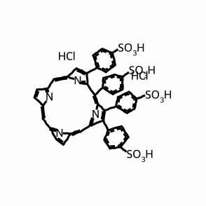 Cl.Cl.O=S(=O)(O)c1ccc(C2=CC3=CC4=NC(=CC5=NC(=CC6=NC(=C(c7ccc(S(=O)(=O)O)cc7)C2=N3)C(c2ccc(S(=O)(=O)O)cc2)=C6c2ccc(S(=O)(=O)O)cc2)C=C5)C=C4)cc1